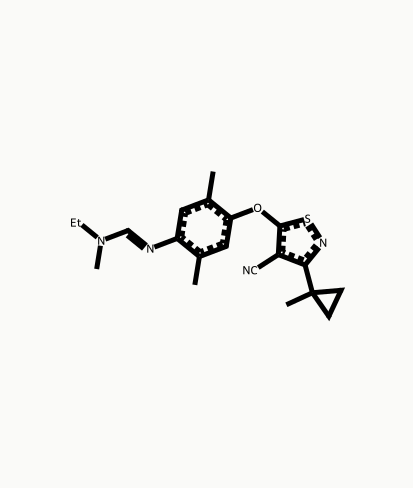 CCN(C)C=Nc1cc(C)c(Oc2snc(C3(C)CC3)c2C#N)cc1C